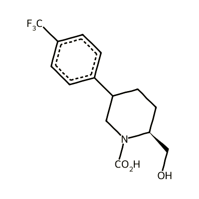 O=C(O)N1CC(c2ccc(C(F)(F)F)cc2)CC[C@H]1CO